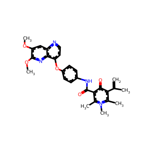 C=C(C)c1c(C)n(C)c(C)c(C(=O)Nc2ccc(Oc3ccnc4cc(OC)c(OC)nc34)cc2)c1=O